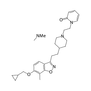 CNC.Cc1c(OCC2CC2)ccc2c(CCC3CCN(CCn4ccccc4=O)CC3)noc12